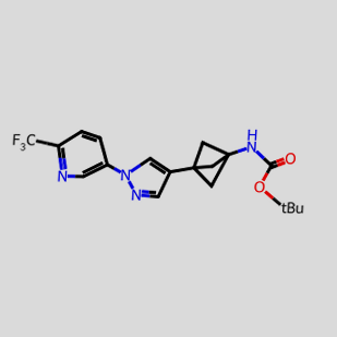 CC(C)(C)OC(=O)NC12CC(c3cnn(-c4ccc(C(F)(F)F)nc4)c3)(C1)C2